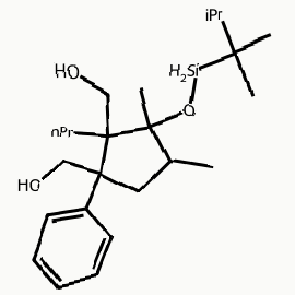 CCCC1(CO)C(CO)(c2ccccc2)CC(C)C1(C)O[SiH2]C(C)(C)C(C)C